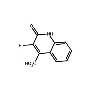 CCc1c(C(=O)O)c2ccccc2[nH]c1=O